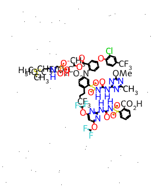 CCOC(=O)C(C)OC(=O)c1cc(Oc2ccc(C(F)(F)F)cc2Cl)ccc1[N+](=O)[O-].COc1nc(C)nc(NC(=O)NS(=O)(=O)c2ccccc2CCC(F)(F)F)n1.C[S+](C)C.O=C(Nc1nc(OC(F)F)cc(OC(F)F)n1)NS(=O)(=O)c1ccccc1C(=O)O.O=C(O)CNCP(=O)([O-])O